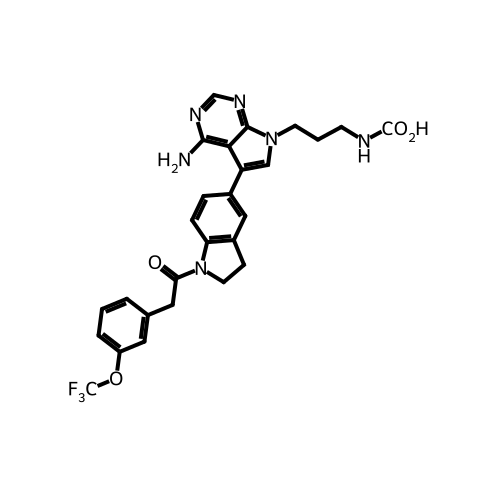 Nc1ncnc2c1c(-c1ccc3c(c1)CCN3C(=O)Cc1cccc(OC(F)(F)F)c1)cn2CCCNC(=O)O